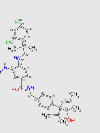 C=C(C)C(/C=C/C)(c1ccc(CNC(=O)c2ccc(NCC(C)(C)c3ccc(Cl)cc3Cl)c(N=N)c2)cc1)C(C)O